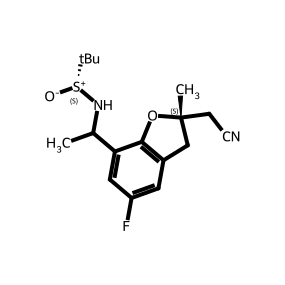 CC(N[S@+]([O-])C(C)(C)C)c1cc(F)cc2c1O[C@](C)(CC#N)C2